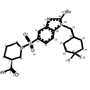 CNC(=O)[C@H]1CCCN(S(=O)(=O)c2ccc3c(c2)nc(C(C)(C)C)n3CC2CCC(F)(F)CC2)C1